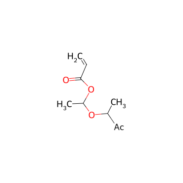 C=CC(=O)OC(C)OC(C)C(C)=O